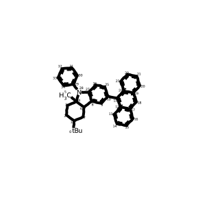 CC(C)(C)C1CCC2(C)C(C1)c1cc(-c3c4ccccc4cc4ccccc34)ccc1N2c1ccccc1